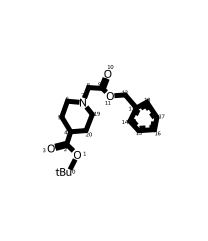 CC(C)(C)OC(=O)C1CCN(CC(=O)OCc2ccccc2)CC1